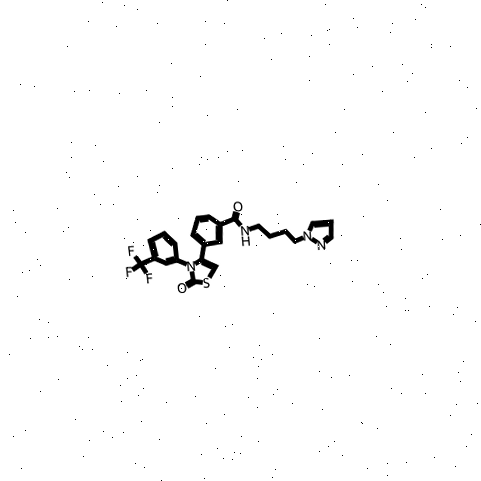 O=C(NCCCCn1cccn1)c1cccc(-c2csc(=O)n2-c2cccc(C(F)(F)F)c2)c1